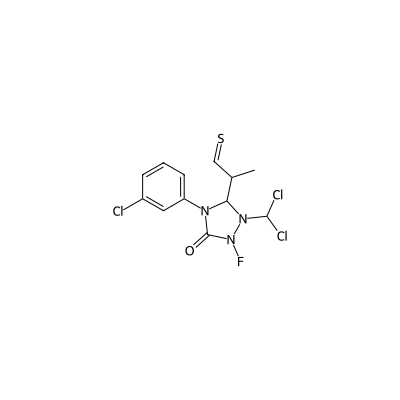 CC(C=S)C1N(c2cccc(Cl)c2)C(=O)N(F)N1C(Cl)Cl